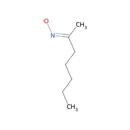 CCCCCC(C)=N[O]